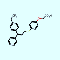 O=C(O)COc1ccc(SCC=C(c2ccccc2)c2ccc(CC(F)(F)F)cc2)cc1